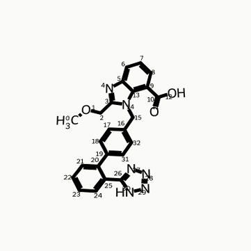 COCc1nc2cccc(C(=O)O)c2n1Cc1ccc(-c2ccccc2-c2nnn[nH]2)cc1